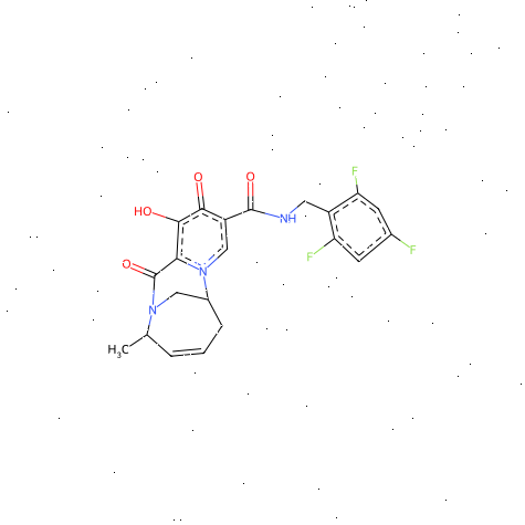 CC1C=CCC2CN1C(=O)c1c(O)c(=O)c(C(=O)NCc3c(F)cc(F)cc3F)cn12